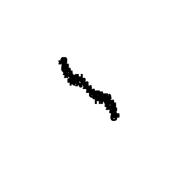 c1cc(-c2ncc(-c3ccc(OCC4CO4)cc3)[nH]2)ccc1CCCCCOc1ccc(-c2cnc(-c3ccc(OCC4CO4)cc3)[nH]2)cc1